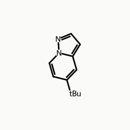 CC(C)(C)c1ccn2nccc2c1